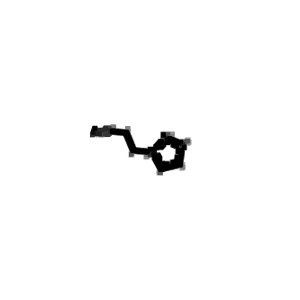 CC(=O)OCCn1ccnn1